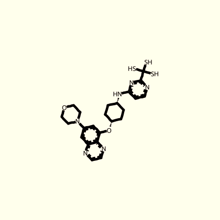 SC(S)(S)c1nccc(N[C@H]2CC[C@@H](Oc3cc(N4CCOCC4)cc4nccnc34)CC2)n1